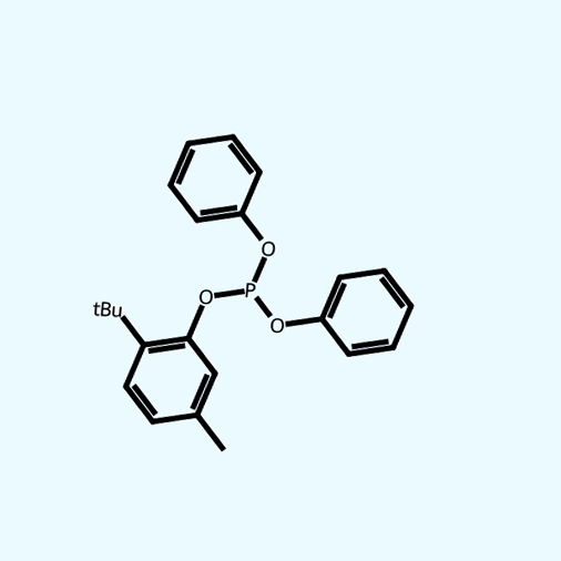 Cc1ccc(C(C)(C)C)c(OP(Oc2ccccc2)Oc2ccccc2)c1